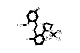 COc1ccc(Br)cc1CCc1c(F)cccc1C1=NCCN1C(C)(C)C